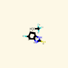 CC(F)(F)F.Fc1ccc2[nH]c(S)nc2c1